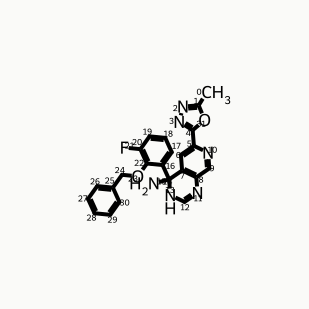 Cc1nnc(-c2cc3c(cn2)N=CNC3(N)c2cccc(F)c2OCc2ccccc2)o1